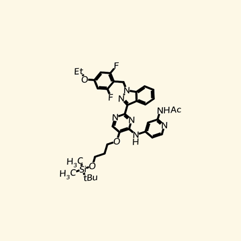 CCOc1cc(F)c(Cn2nc(-c3ncc(OCCCO[Si](C)(C)C(C)(C)C)c(Nc4ccnc(NC(C)=O)c4)n3)c3ccccc32)c(F)c1